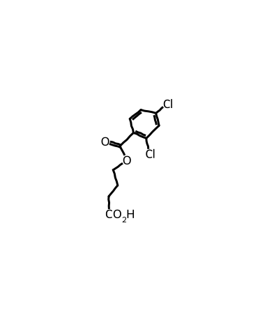 O=C(O)CCCOC(=O)c1ccc(Cl)cc1Cl